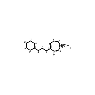 CN1CCC=C(CCCC2CCCCC2)NC1